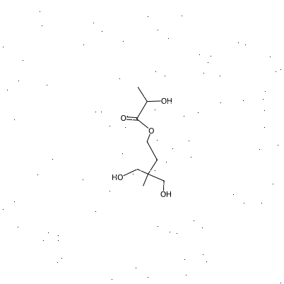 CC(O)C(=O)OCCC(C)(CO)CO